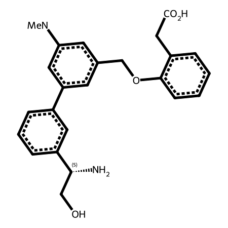 CNc1cc(COc2ccccc2CC(=O)O)cc(-c2cccc([C@H](N)CO)c2)c1